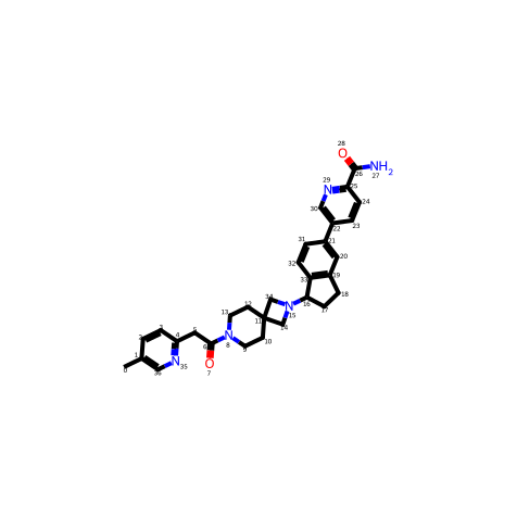 Cc1ccc(CC(=O)N2CCC3(CC2)CN(C2CCc4cc(-c5ccc(C(N)=O)nc5)ccc42)C3)nc1